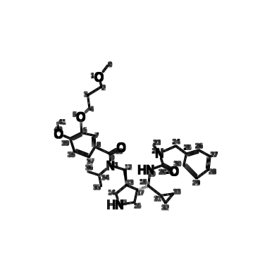 COCCCOc1cc(C(=O)N(C[C@@H]2CNC[C@H]2C(NC(=O)N(C)Cc2ccccc2)C2CC2)C(C)C)ccc1OC